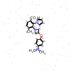 Cc1ccc(C(=O)O)c(-n2cccc2)c1N1CC(Oc2ccc(N(C)C)cc2)C1